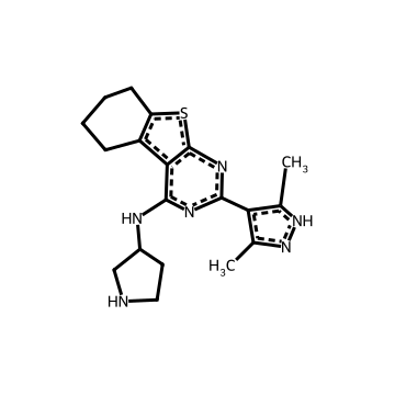 Cc1n[nH]c(C)c1-c1nc(NC2CCNC2)c2c3c(sc2n1)CCCC3